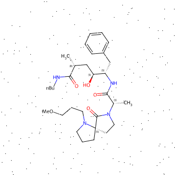 CCCCNC(=O)[C@H](C)C[C@H](O)[C@H](Cc1ccccc1)NC(=O)[C@H](C)N1CC[C@@]2(CCCN2CCCOC)C1=O